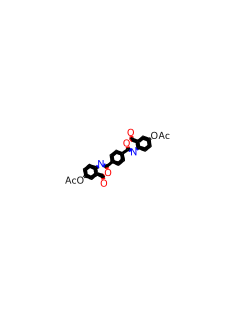 CC(=O)Oc1ccc2nc(-c3ccc(-c4nc5ccc(OC(C)=O)cc5c(=O)o4)cc3)oc(=O)c2c1